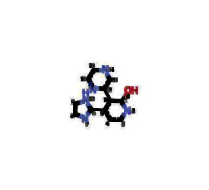 Oc1nccc(-c2ncc[nH]2)c1-c1cnccn1